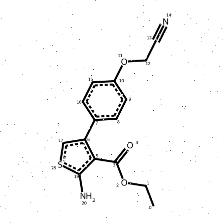 CCOC(=O)c1c(-c2ccc(OCC#N)cc2)csc1N